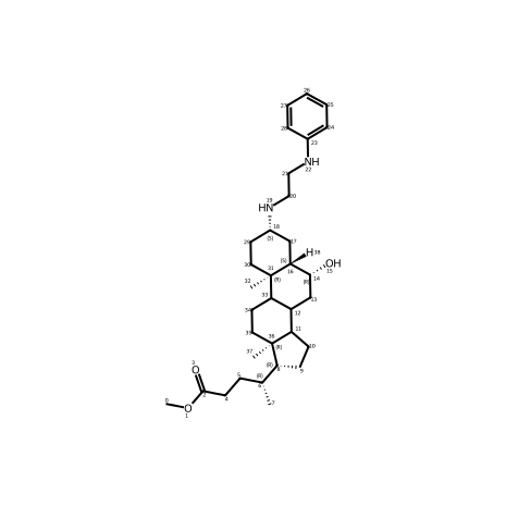 COC(=O)CC[C@@H](C)[C@H]1CCC2C3C[C@@H](O)[C@H]4C[C@@H](NCCNc5ccccc5)CC[C@]4(C)C3CC[C@@]21C